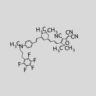 CN(CCCc1c(F)c(F)c(F)c(F)c1F)c1ccc(/C=C/C2=CC(=C/C=C/C3=C(C#N)C(=C(C#N)C#N)OC3(C)C)/CC(C)(C)C2)cc1